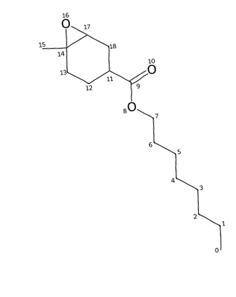 CCCCCCCCOC(=O)C1CCC2(C)OC2C1